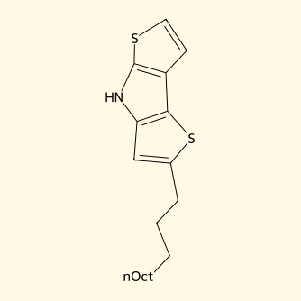 CCCCCCCCCCCc1cc2[nH]c3sccc3c2s1